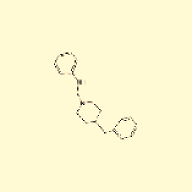 c1ccc(CC2CCN(CNc3ccccc3)CC2)cc1